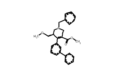 COCC1CN(Cc2ccccc2)CC(C(=O)OC)=C1c1cccc(-c2ccccc2)c1